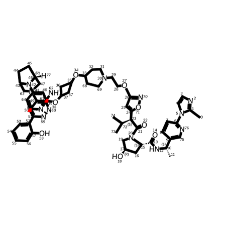 Cc1nccn1-c1ccc([C@H](C)NC(=O)[C@@H]2C[C@@H](O)CN2C(=O)[C@H](c2cc(OCCN3CCC(OC4CC(Oc5cc(N6C7CC[C@@H]6CN(c6cc(-c8ccccc8O)nnc6N)C7)ccn5)C4)CC3)no2)C(C)C)cn1